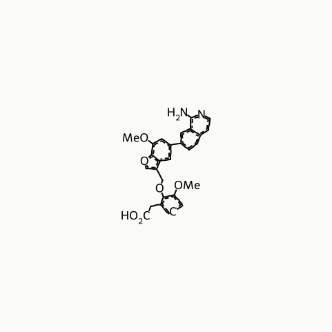 COc1cccc(CC(=O)O)c1OCc1coc2c(OC)cc(-c3ccc4ccnc(N)c4c3)cc12